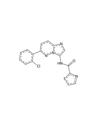 O=C(Nc1cnc2ccc(-c3ccccc3Cl)nn12)c1nccs1